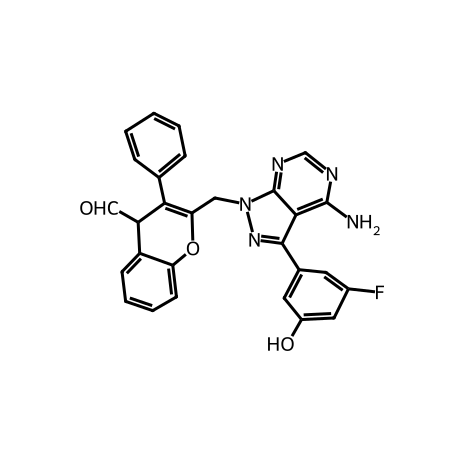 Nc1ncnc2c1c(-c1cc(O)cc(F)c1)nn2CC1=C(c2ccccc2)C(C=O)c2ccccc2O1